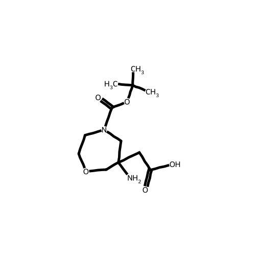 CC(C)(C)OC(=O)N1CCOCC(N)(CC(=O)O)C1